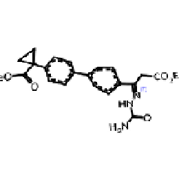 CCOC(=O)C/C(=N/NC(N)=O)c1ccc(-c2ccc(C3(C(=O)OC)CC3)cc2)cc1